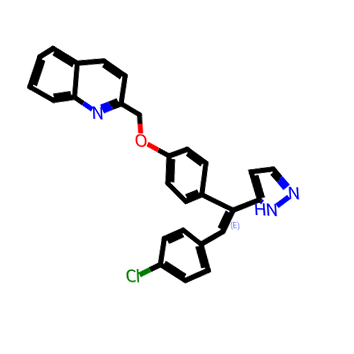 Clc1ccc(/C=C(\c2ccc(OCc3ccc4ccccc4n3)cc2)c2ccn[nH]2)cc1